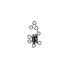 c1ccc(B2SB(c3cccc(-c4ccc5c6ccccc6c6ccccc6c5c4)c3)SB3N(c4ccccc4)B(c4ccccc4)N(c4ccccc4)N23)cc1